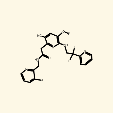 N#Cc1cc(OF)c(NCC(F)(F)c2ccccn2)nc1CC(=O)NCc1ncccc1F